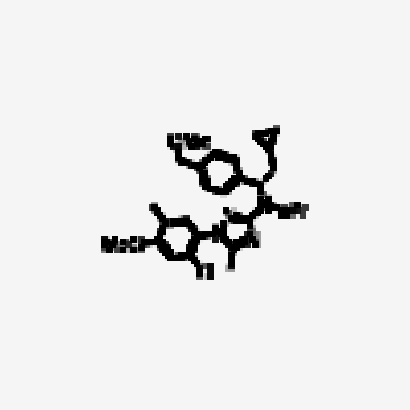 CCCN(c1nc(C)n(-c2cc(C)c(OC)cc2Cl)n1)[C@@H](CC1CC1)c1ccc(COC)cc1